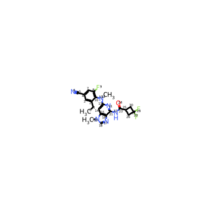 CCc1cc(C#N)cc(F)c1N(C)c1cc2c(ncn2C)c(NC(=O)C2CC(F)(F)C2)n1